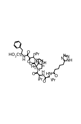 CCCC(C(=O)C(=O)N[C@H](Cc1ccccc1)C(=O)O)N1CC[C@H]2CN(C(=O)[C@@H](NC(=O)[C@H](NC(=O)CCCCc3nnn[nH]3)C(C)C)C(C)C)[C@H](C1=O)[C@H]2C